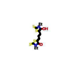 CCN1C(=O)C(=CC=Cc2sc(=S)n(CC)c2O)SC1=S